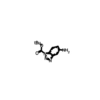 CC(C)(C)OC(=O)n1nnc2cc(N)ccc21